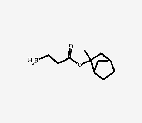 BCCC(=O)OC1(C)CC2CCC1C2